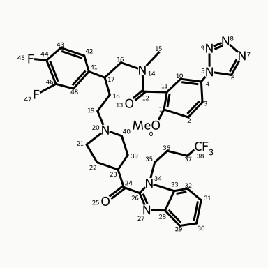 COc1ccc(-n2cnnn2)cc1C(=O)N(C)CC(CCN1CCC(C(=O)c2nc3ccccc3n2CCCC(F)(F)F)CC1)c1ccc(F)c(F)c1